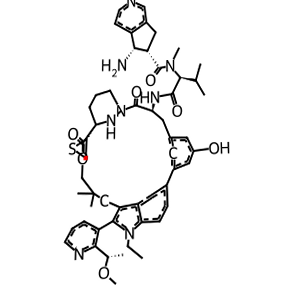 CCn1c(-c2cccnc2[C@H](C)OC)c2c3cc(ccc31)-c1cc(O)cc(c1)C[C@H](NC(=O)[C@H](C(C)C)N(C)C(=O)[C@H]1Cc3cnccc3[C@H]1N)C(=O)N1CCC[C@@](C3=CS3)(N1)C(=O)OCC(C)(C)C2